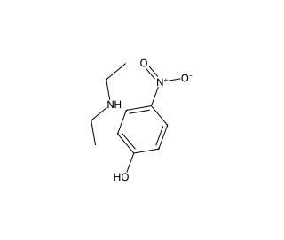 CCNCC.O=[N+]([O-])c1ccc(O)cc1